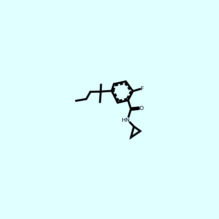 CCCC(C)(C)c1ccc(F)c(C(=O)NC2CC2)c1